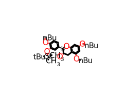 CCCCOc1cc(OCCCC)c2c(c1)O[C@H](c1ccc(OCCCC)c(O[Si](C)(C)C(C)(C)C)c1)C(=O)C2